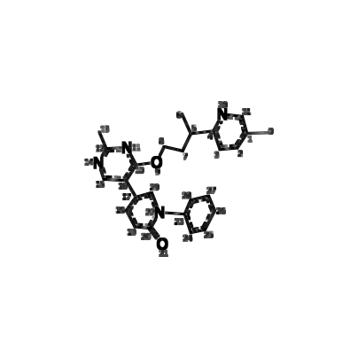 Cc1ccc(C(C)CCOc2nc(C)ncc2-c2ccc(=O)n(-c3ccccc3)c2)nc1